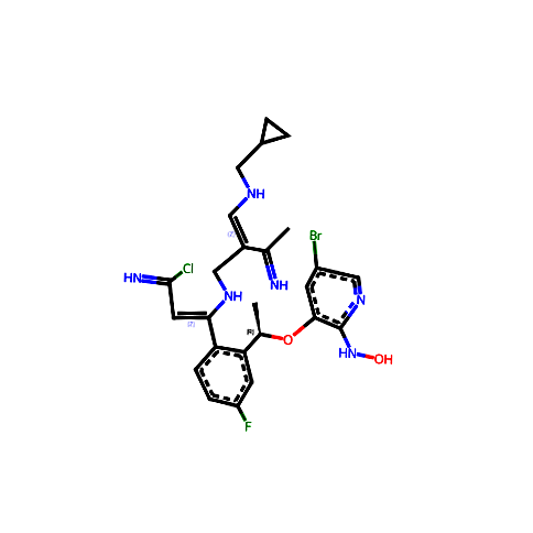 CC(=N)/C(=C\NCC1CC1)CN/C(=C\C(=N)Cl)c1ccc(F)cc1[C@@H](C)Oc1cc(Br)cnc1NO